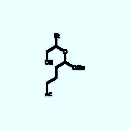 CCC(CO)OC(CCCC(C)=O)OC